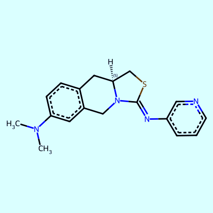 CN(C)c1ccc2c(c1)CN1C(=Nc3cccnc3)SC[C@@H]1C2